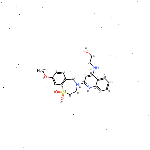 COc1ccc2c(c1)S(=O)(=O)CCN(c1cc(NCCO)c3ccccc3n1)C2